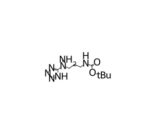 CC(C)(C)OC(=O)NCCCN(N)c1nnn[nH]1